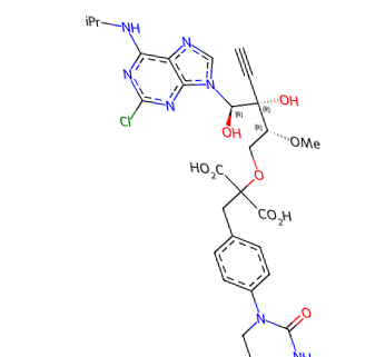 C#C[C@@](O)([C@@H](COC(Cc1ccc(N2CCCNC2=O)cc1)(C(=O)O)C(=O)O)OC)[C@@H](O)n1cnc2c(NC(C)C)nc(Cl)nc21